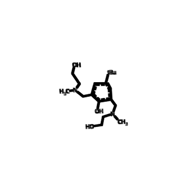 CN(CCO)Cc1cc(C(C)(C)C)cc(CN(C)CCO)c1O